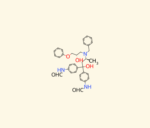 C[C@@H](CC(O)(c1ccc(NC=O)cc1)c1ccc(NC=O)cc1)N(Cc1ccccc1)C[C@H](O)COc1ccccc1